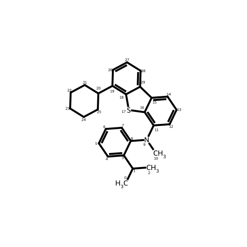 CC(C)c1ccccc1N(C)c1cccc2c1sc1c(C3CCCCC3)cccc12